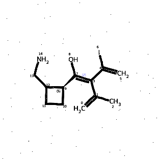 C=C(C)/C(C(=C)I)=C(/O)[C@H]1CCC1CN